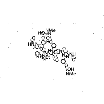 CCc1c(N[C@H]2COC(c3ccc(OCC(O)CNC)cc3-c3nc(N[C@@H]4CCOC4)c(C)c(-c4ccnc(-n5ccnc5)c4)n3)C2)nc(-c2cccc(OCC(O)CNC)c2)nc1N1CCOCC1C1CN(C(=O)c2nc(-c3cccc(OCC(O)CNC)c3)nc(N[C@@H]3CCOC3)c2C)CCO1